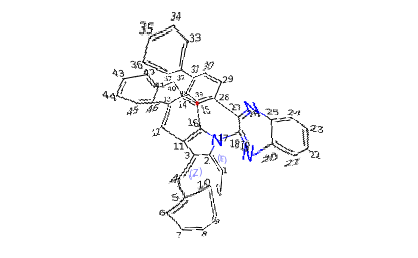 C/C=c1\c(=C/c2ccccc2)c2cc3c(cc2n1-c1nc2ccccc2nc1-c1ccc(-c2ccccc2)cc1)Cc1ccccc1-3